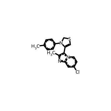 Cc1ccc(N2CSC=C2c2c(C)nc3cc(Cl)ccn23)cc1